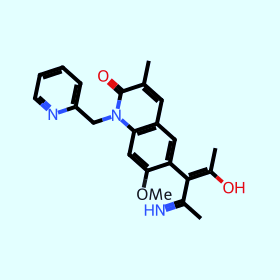 COc1cc2c(cc1/C(C(C)=N)=C(\C)O)cc(C)c(=O)n2Cc1ccccn1